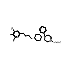 CCCCC[SiH]1CCC(c2ccccc2)([C@H]2CC[C@H](CCCCc3cc(F)c(F)c(F)c3)CC2)CC1